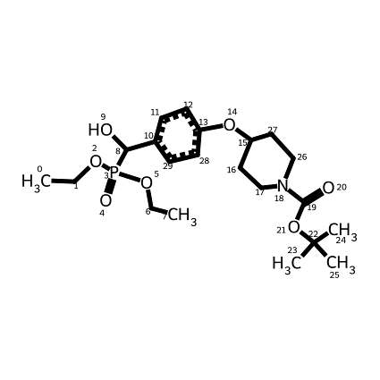 CCOP(=O)(OCC)C(O)c1ccc(OC2CCN(C(=O)OC(C)(C)C)CC2)cc1